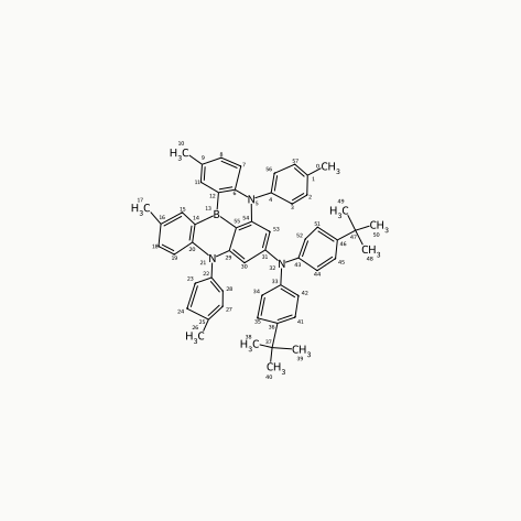 Cc1ccc(N2c3ccc(C)cc3B3c4cc(C)ccc4N(c4ccc(C)cc4)c4cc(N(c5ccc(C(C)(C)C)cc5)c5ccc(C(C)(C)C)cc5)cc2c43)cc1